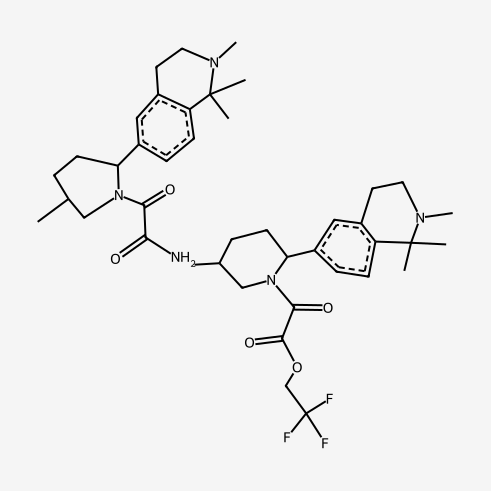 CC1CCC(c2ccc3c(c2)CCN(C)C3(C)C)N(C(=O)C(=O)OCC(F)(F)F)C1.CC1CCC(c2ccc3c(c2)CCN(C)C3(C)C)N(C(=O)C(N)=O)C1